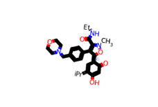 CCNC(=O)C1=C(c2ccc(CN3CCOCC3)cc2)/C(=C2\C=C(C(C)C)C(O)=CC2=O)ON1C